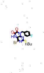 CCCCSc1nc(Br)c2[nH]c(=O)c(=O)n(Cc3ccc(F)cc3)c2n1